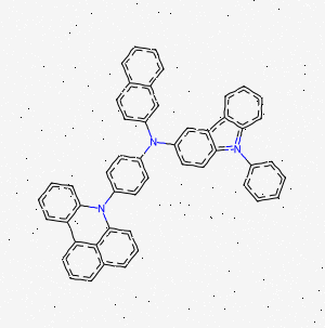 c1ccc(-n2c3ccccc3c3cc(N(c4ccc(N5c6ccccc6-c6cccc7cccc5c67)cc4)c4ccc5ccccc5c4)ccc32)cc1